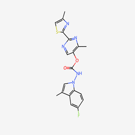 Cc1csc(-c2ncc(OC(=O)Nn3cc(C)c4cc(F)ccc43)c(C)n2)n1